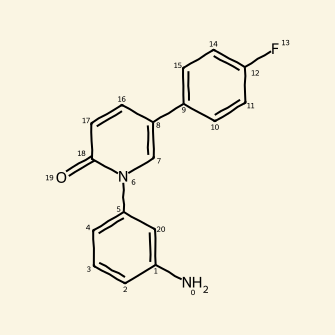 Nc1cccc(-n2cc(-c3ccc(F)cc3)ccc2=O)c1